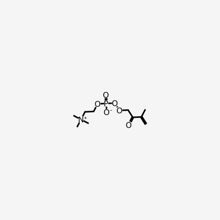 C=C(C)C(=O)COOP(=O)([O-])OCC[N+](C)(C)C